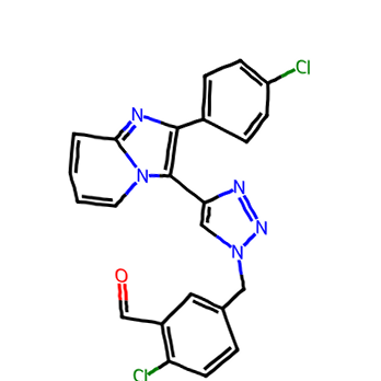 O=Cc1cc(Cn2cc(-c3c(-c4ccc(Cl)cc4)nc4ccccn34)nn2)ccc1Cl